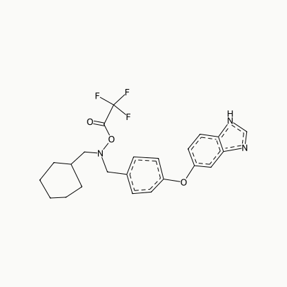 O=C(ON(Cc1ccc(Oc2ccc3[nH]cnc3c2)cc1)CC1CCCCC1)C(F)(F)F